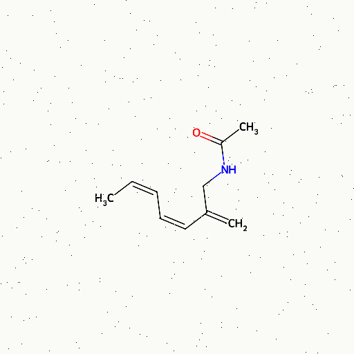 C=C(/C=C\C=C/C)CNC(C)=O